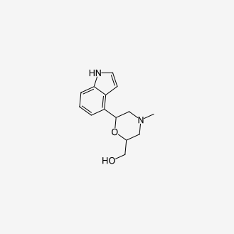 CN1CC(CO)OC(c2cccc3[nH]ccc23)C1